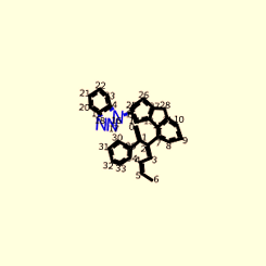 C=C(/C(=C\C=C/C)c1cccc2c1-c1cc(-n3nnc4ccccc43)ccc1C2)c1ccccc1